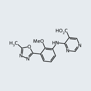 COc1c(Nc2ncncc2C(=O)O)cccc1-c1nnc(C)o1